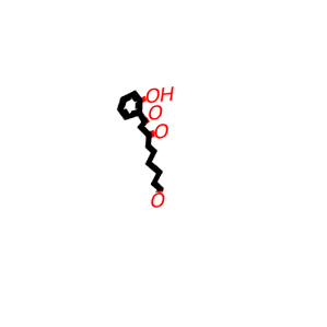 O=CCCCCCC(=O)CC(=O)c1ccccc1O